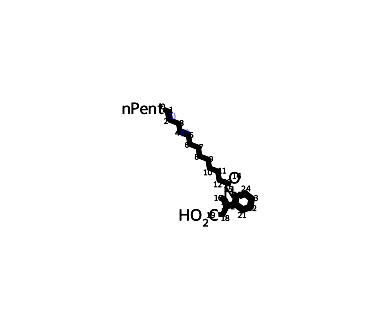 CCCCC/C=C/C/C=C/CCCCCCCC(=O)n1cc(CC(=O)O)c2ccccc21